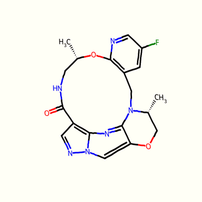 C[C@@H]1COc2cn3ncc4c3nc2N1Cc1cc(F)cnc1O[C@@H](C)CNC4=O